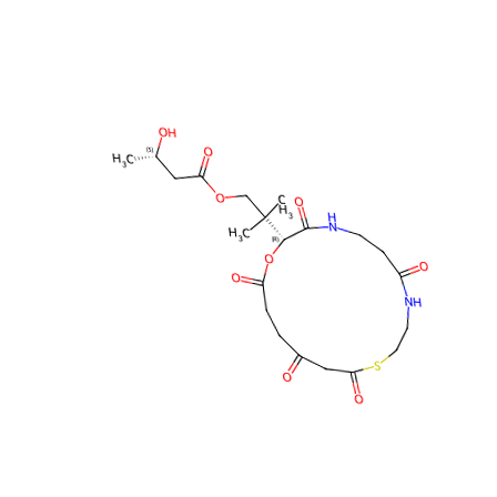 C[C@H](O)CC(=O)OCC(C)(C)[C@H]1OC(=O)CCC(=O)CC(=O)SCCNC(=O)CCNC1=O